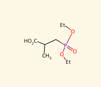 CCOP(=O)(CC(C)C(=O)O)OCC